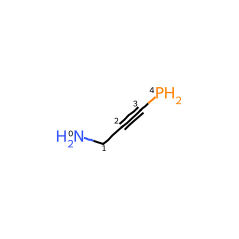 NCC#CP